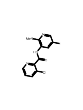 CNc1ncc(I)cc1NC(=O)c1ncccc1Cl